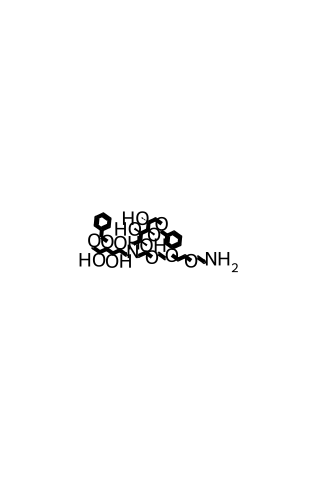 NCCOCCOCCOCCN(C[C@@H](O)[C@@H](O)[C@@H]1OC(c2ccccc2)OC[C@H]1O)C[C@H](O)[C@@H](O)[C@@H]1OC(c2ccccc2)OC[C@H]1O